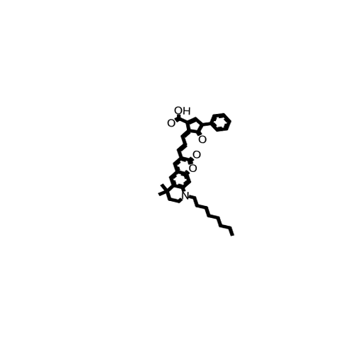 CCCCCCCCN1CCC(C)(C)c2cc3cc(/C=C/C=C4\C(=O)C(c5ccccc5)C=C4C(=O)O)c(=O)oc3cc21